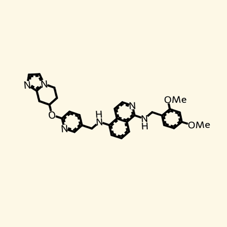 COc1ccc(CNc2nccc3c(NCc4ccc(OC5CCn6ccnc6C5)nc4)cccc23)c(OC)c1